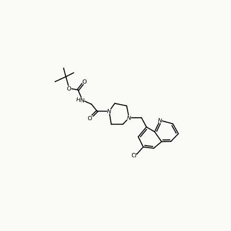 CC(C)(C)OC(=O)NCC(=O)N1CCN(Cc2cc(Cl)cc3cccnc23)CC1